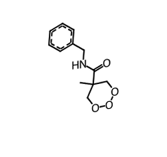 CC1(C(=O)NCc2ccccc2)COOOC1